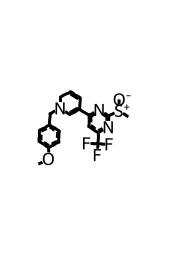 COc1ccc(CN2C=C(c3cc(C(F)(F)F)nc([S+](C)[O-])n3)C=CC2)cc1